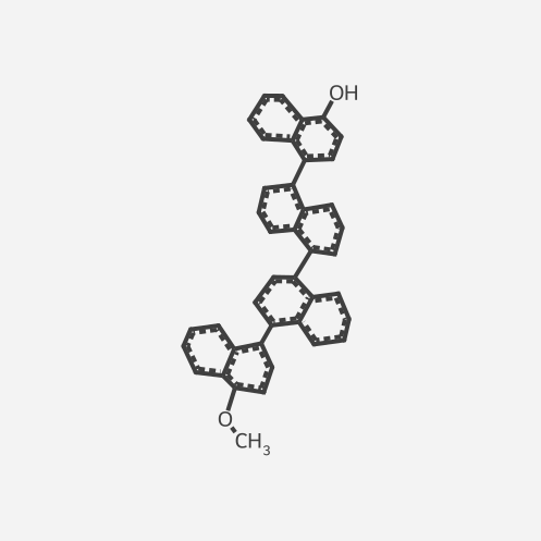 COc1ccc(-c2ccc(-c3cccc4c(-c5ccc(O)c6ccccc56)cccc34)c3ccccc23)c2ccccc12